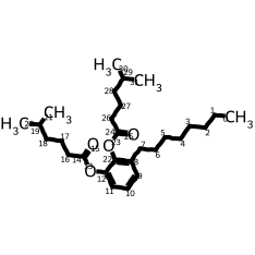 CCCCCCCCc1cccc(OC(=O)CCCC(C)C)c1OC(=O)CCCC(C)C